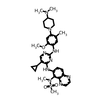 COc1cc(N2CCC(N(C)C)CC2)c(C)cc1Nc1ncc(C2CC2)c(Nc2ccc3nccnc3c2N(C)S(C)(=O)=O)n1